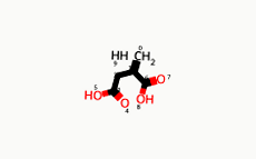 C=C(CC(=O)O)C(=O)O.[HH]